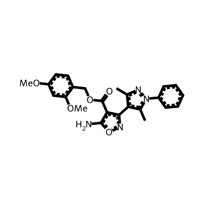 COc1ccc(COC(=O)c2c(-c3c(C)nn(-c4ccccc4)c3C)noc2N)c(OC)c1